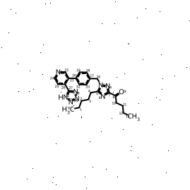 CCCCCc1nc(C(=O)CCCC)nn1Cc1ccc(-c2cnccc2-c2nnn[nH]2)cc1